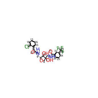 O=C(NC[C@]1(O)CO[C@H](CNC2OC2c2ccccc2Cl)[C@H]1O)c1cccc(C(F)(F)F)c1